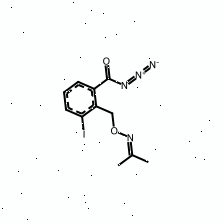 CC(C)=NOCc1c(I)cccc1C(=O)N=[N+]=[N-]